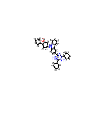 c1ccc(C2N=C(c3ccc4c(c3)c3ccccc3n4-c3ccc4c(c3)oc3ccccc34)NC(c3ccccc3)N2)cc1